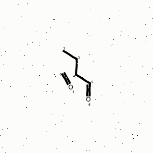 C=O.CCCC=O